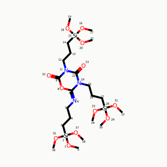 CO[Si](CCCN=c1oc(=O)n(CCC[Si](OC)(OC)OC)c(=O)n1CCC[Si](OC)(OC)OC)(OC)OC